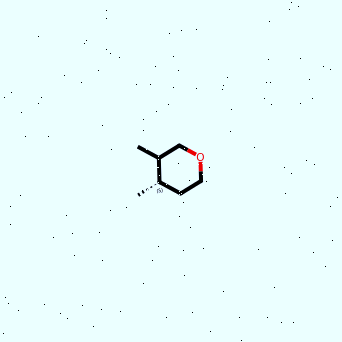 CC1COCC[C@@H]1C